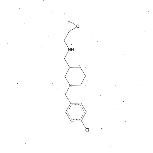 Clc1ccc(CN2CCCC(CNCC3CO3)C2)cc1